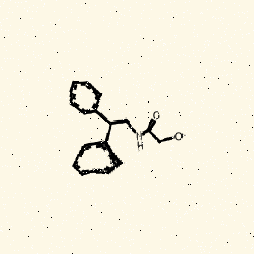 [O]CC(=O)NCC(c1ccccc1)c1ccccc1